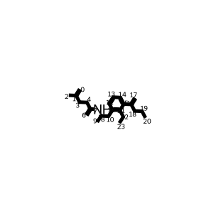 C=C(C)CCC(=C)NC(C)Cc1cccc(C(=C)CCC)c1CC